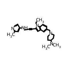 CCn1c(C#CCNc2ccnc(C)c2)cc2cc(CN3CCC(N(C)C)CC3)ccc21